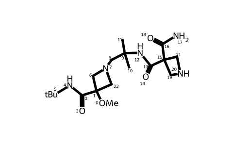 COC1(C(=O)NC(C)(C)C)CN(CC(C)(C)NC(=O)C2(C(N)=O)CNC2)C1